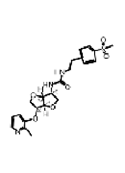 Cc1ncccc1O[C@H]1CO[C@H]2[C@@H]1OC[C@@H]2NC(=O)NCCc1ccc(S(C)(=O)=O)cc1